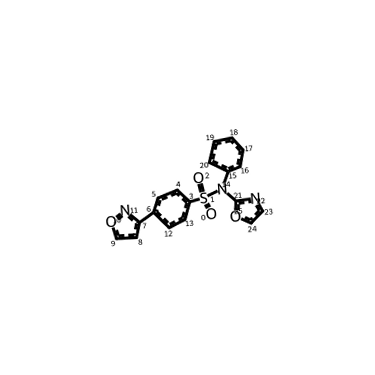 O=S(=O)(c1ccc(-c2ccon2)cc1)N(c1ccccc1)c1ncco1